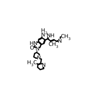 CC/N=C\C=C(/C)C(=N)c1cc2c(cc1N)NC(=O)N([C@@H]1CCCN(CC3=C(C)CCC=N3)C1)C2